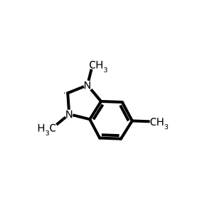 Cc1ccc2c(c1)N(C)[CH]N2C